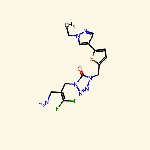 CCn1cc(-c2ccc(Cn3nnn(CC(CN)=C(F)F)c3=O)s2)cn1